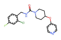 O=C(NCc1ccc(F)cc1Cl)N1CCC(Oc2ccncc2)CC1